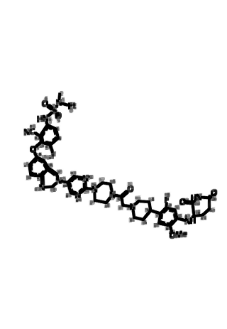 CCN(C)S(=O)(=O)Nc1ccc(F)c(Oc2ccc3c(c2)=CN(c2cnc(N4CCN(C(=O)CN5CCC(c6cc(OC)c(NC7CCC(=O)NC7=O)cc6F)CC5)CC4)nc2)CN=3)c1C#N